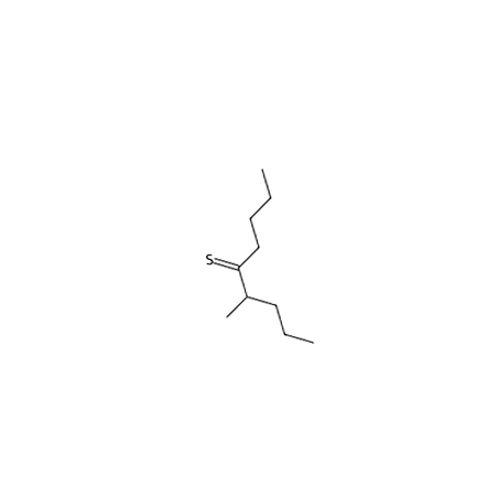 CCCCC(=S)C(C)CCC